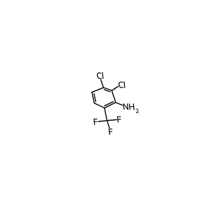 Nc1c(C(F)(F)F)ccc(Cl)c1Cl